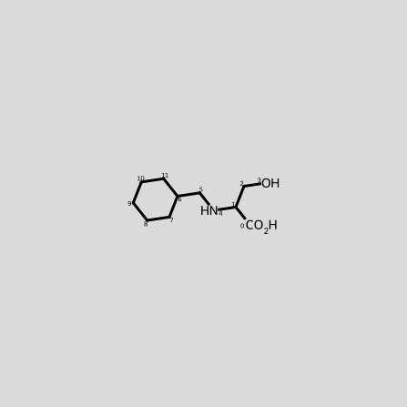 O=C(O)C(CO)NCC1CCCCC1